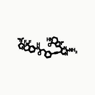 CN(C)[C@@H]1CCN(Cc2ccc(NC(=O)Cc3cccc(C#Cc4cnc(N)nc4-c4cc5c(n4C)CCNC5=O)c3)cc2C(F)(F)F)C1